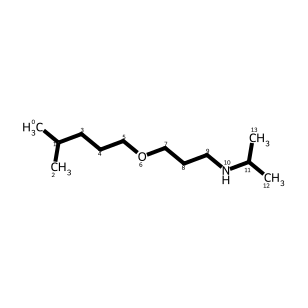 CC(C)CCCOCCCNC(C)C